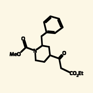 CCOC(=O)CC(=O)C1CCN(C(=O)OC)C(Cc2ccccc2)C1